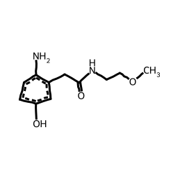 COCCNC(=O)Cc1cc(O)ccc1N